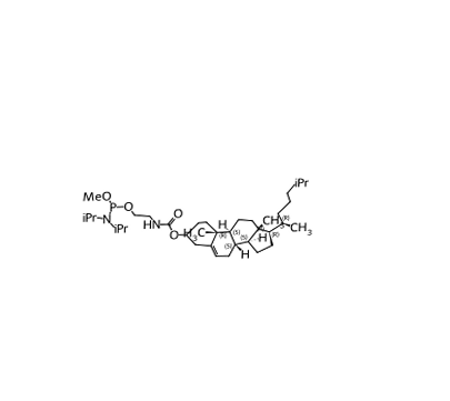 COP(OCCNC(=O)OC1CC[C@@]2(C)C(=CC[C@H]3[C@@H]4CC[C@H]([C@H](C)CCCC(C)C)[C@@]4(C)CC[C@@H]32)C1)N(C(C)C)C(C)C